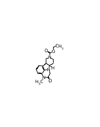 CCOC(=O)N1CC[C@H]2C(C1)c1cccc3c1N2CC(=O)N3C